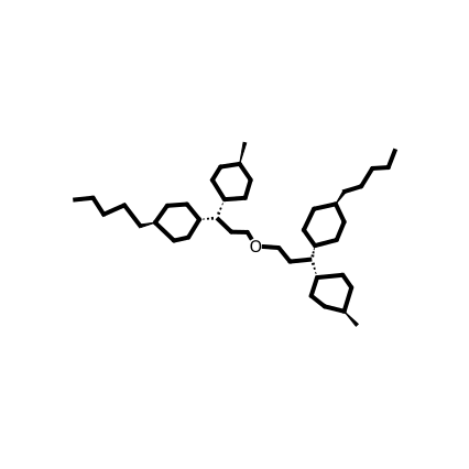 CCCCC[C@H]1CC[C@H](C(CCOCCC([C@H]2CC[C@H](C)CC2)[C@H]2CC[C@H](CCCCC)CC2)[C@H]2CC[C@H](C)CC2)CC1